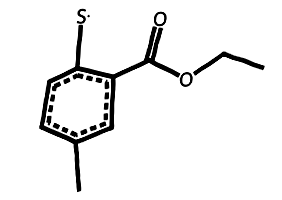 CCOC(=O)c1cc(C)ccc1[S]